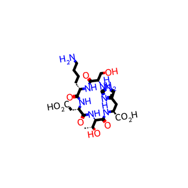 C[C@@H](O)[C@H](NC(=O)[C@H](CC(=O)O)NC(=O)[C@H](CCCCN)NC(=O)[C@@H](N)CO)C(=O)N[C@@H](Cc1c[nH]cn1)C(=O)O